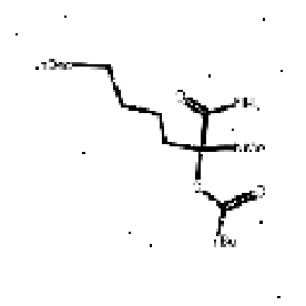 CCCCCCCCCCCCCCC(NC)(OC(=O)CCCC)C(N)=O